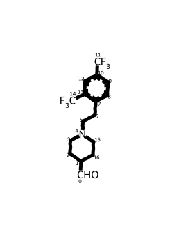 O=CC1CCN(CCc2ccc(C(F)(F)F)cc2C(F)(F)F)CC1